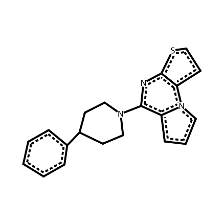 c1ccc(C2CCN(c3nc4sccc4n4cccc34)CC2)cc1